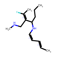 C/C=C/C=C\NC(CCC)/C(CNC)=C(\C)F